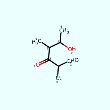 CCC(C=O)C(=O)C(C)C(C)O